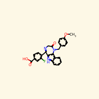 COc1ccc(CN2C(=O)CN=C(c3ccc(C(=O)O)cc3F)c3[nH]c4ccccc4c32)cc1